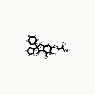 O=C(O)COc1cc2c(c(Cl)c1Cl)C(=O)C(c1ccccc1)(C1CCCC1)C2